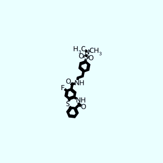 CN(C)S(=O)(=O)c1ccc(CCNC(=O)c2cc3c(cc2F)Sc2ccccc2C(=O)N3)cc1